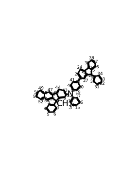 CC1(c2ccccc2)c2cc(N(c3ccccc3)c3ccc(-c4ccc5c(c4)C(c4ccccc4)c4ccccc4-5)cc3)ccc2-c2cc3ccccc3cc21